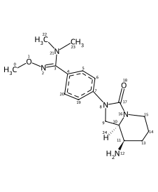 CON=C(c1ccc(N2C[C@@H]3[C@H](N)CCCN3C2=O)cc1)N(C)C